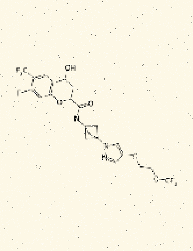 O=C(NC12CC(n3cc(OCCOC(F)(F)F)cn3)(C1)C2)C1CC(O)c2cc(C(F)(F)F)c(F)cc2O1